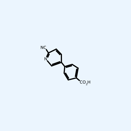 N#Cc1ccc(-c2ccc(C(=O)O)cc2)cn1